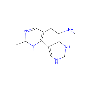 CNCCC1=C(C2=CNCNC2)NC(C)N=C1